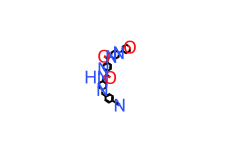 N#Cc1ccc(CN2CCC(NC(=O)c3ccc(C(=O)N4CCN(C5CCOCC5)CC4)cn3)CC2)cc1